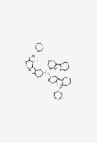 c1ccc(-c2nc3c(ccc4oc5ccc(N(c6ccc7c(c6)c6ccccc6n7-c6ccccc6)c6cccc7c6oc6ccccc67)cc5c43)o2)cc1